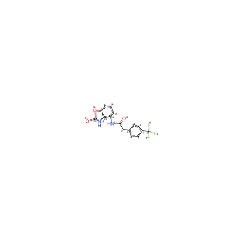 O=C(Cc1ccc(C(F)(F)F)cc1)Nc1cccc2oc(=O)[nH]c12